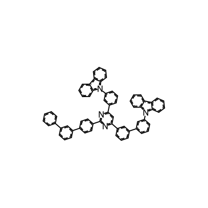 c1ccc(-c2cccc(-c3ccc(-c4nc(-c5cccc(-c6cccc(-n7c8ccccc8c8ccccc87)c6)c5)cc(-c5cccc(-n6c7ccccc7c7ccccc76)c5)n4)cc3)c2)cc1